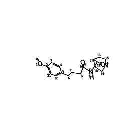 COc1ccc(CCCC(=O)NC2CN3CCC2CC3)cc1